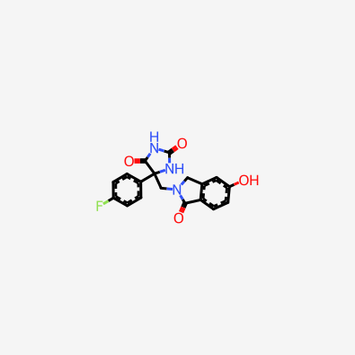 O=C1NC(=O)C(CN2Cc3cc(O)ccc3C2=O)(c2ccc(F)cc2)N1